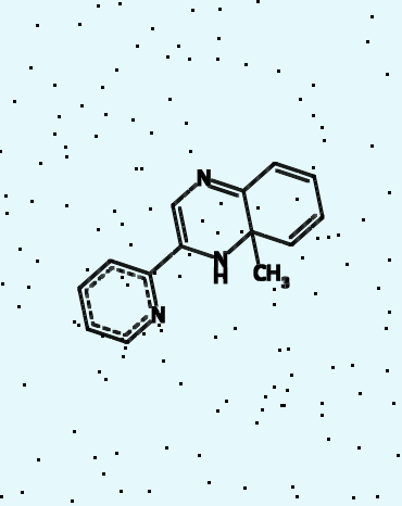 CC12C=CC=CC1=NC=C(c1ccccn1)N2